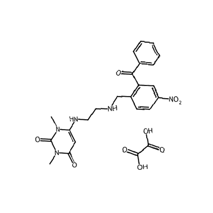 Cn1c(NCCNCc2ccc([N+](=O)[O-])cc2C(=O)c2ccccc2)cc(=O)n(C)c1=O.O=C(O)C(=O)O